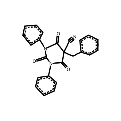 N#CC1(Cc2ccccc2)C(=O)N(c2ccccc2)C(=O)N(c2ccccc2)C1=O